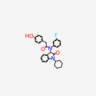 O=C1C(N(C(=O)Cc2ccc(O)cc2)c2cccc(F)c2)c2ccccc2N1C1CCCCC1